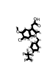 COc1cc2c(CC(=O)O)c(C)n(Cc3ccc(SC(F)(F)C(F)F)cc3)c2cc1Cl